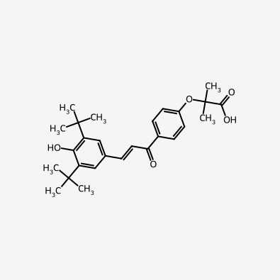 CC(C)(Oc1ccc(C(=O)/C=C/c2cc(C(C)(C)C)c(O)c(C(C)(C)C)c2)cc1)C(=O)O